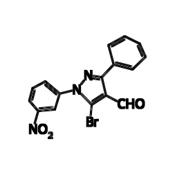 O=Cc1c(-c2ccccc2)nn(-c2cccc([N+](=O)[O-])c2)c1Br